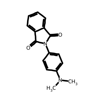 CN(C)c1ccc(N2C(=O)c3ccccc3C2=O)cc1